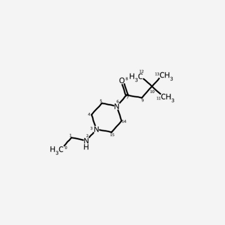 CCNN1CCN(C(=O)CC(C)(C)C)CC1